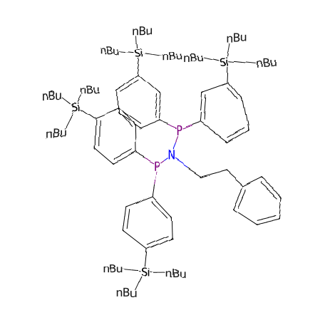 CCCC[Si](CCCC)(CCCC)c1ccc(P(c2ccc([Si](CCCC)(CCCC)CCCC)cc2)N(CCc2ccccc2)P(c2cccc([Si](CCCC)(CCCC)CCCC)c2)c2cccc([Si](CCCC)(CCCC)CCCC)c2)cc1